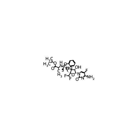 CC(C)OC(=O)[C@H](C)NP(=S)(OC[C@@]1(C(F)F)O[C@@H](n2cc(F)c(N)nc2=O)[C@H](O)[C@@H]1O)Oc1ccccc1